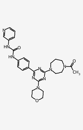 CC(=O)N1CCCN(c2nc(-c3ccc(NC(=O)Nc4cccnc4)cc3)nc(N3CCOCC3)n2)CC1